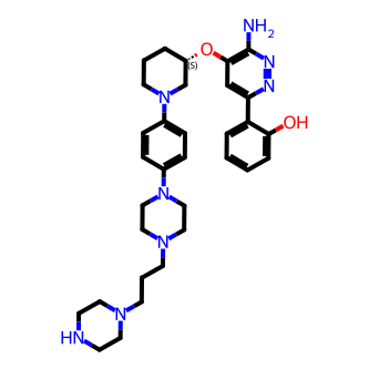 Nc1nnc(-c2ccccc2O)cc1O[C@H]1CCCN(c2ccc(N3CCN(CCCN4CCNCC4)CC3)cc2)C1